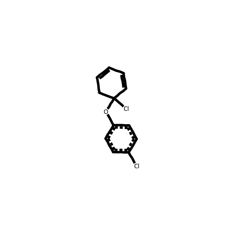 Clc1ccc(OC2(Cl)[CH]C=CC=C2)cc1